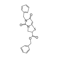 O=C(OCc1ccccc1)C1Cn2c(cc(=O)n(Cc3ccccc3)c2=O)S1